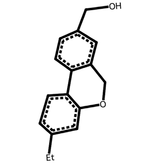 CCc1ccc2c(c1)OCc1cc(CO)ccc1-2